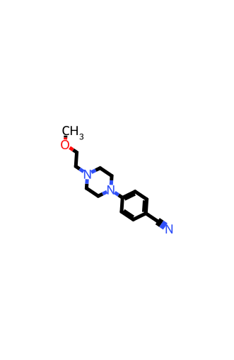 COCCN1CCN(c2ccc(C#N)cc2)CC1